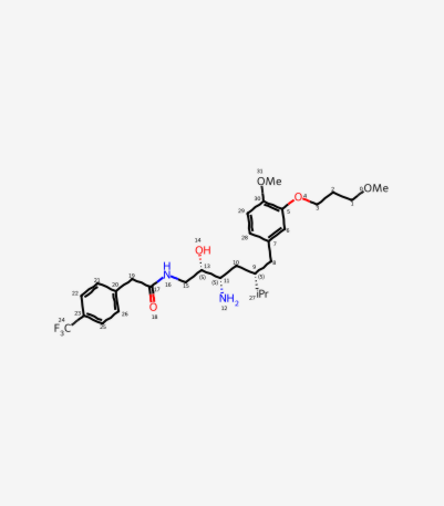 COCCCOc1cc(C[C@@H](C[C@H](N)[C@@H](O)CNC(=O)Cc2ccc(C(F)(F)F)cc2)C(C)C)ccc1OC